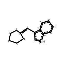 C(=C1CCCCC1)c1c[nH]c2ccccc12